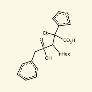 CCCCCCC(C(CC)(C(=O)O)c1ccsc1)P(=O)(O)Cc1ccccc1